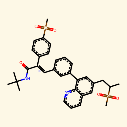 CC(Cc1cc(-c2cccc(/C=C(/C(=O)NC(C)(C)C)c3ccc(S(C)(=O)=O)cc3)c2)c2ncccc2c1)S(C)(=O)=O